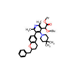 Cc1nc(C)c(C(OC(C)(C)C)C(=O)OC(C)C)c(N2CCC(C)(C)CC2)c1-c1ccc2c(c1)CCC(Cc1ccccc1)O2